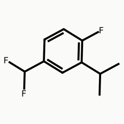 CC(C)c1cc(C(F)F)ccc1F